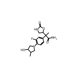 CC1CN(c2ccc(C(C)(C(N)=O)C3CNC(=O)O3)cc2F)CC1O